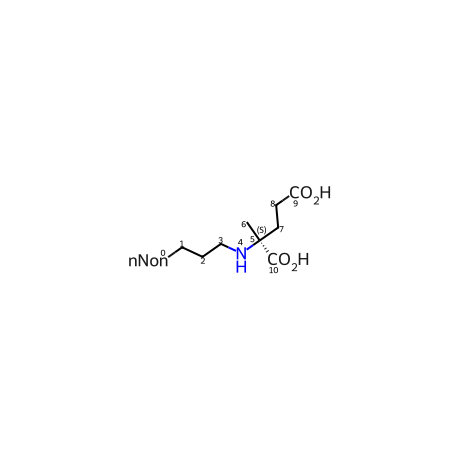 CCCCCCCCCCCCN[C@@](C)(CCC(=O)O)C(=O)O